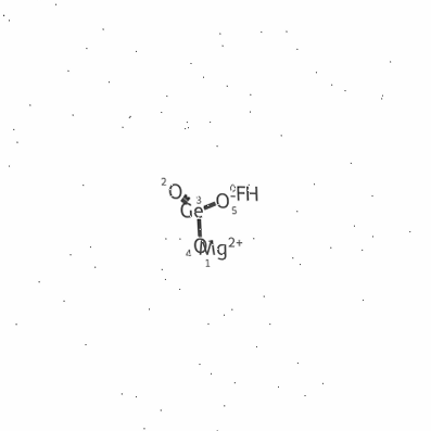 F.[Mg+2].[O]=[Ge]([O-])[O-]